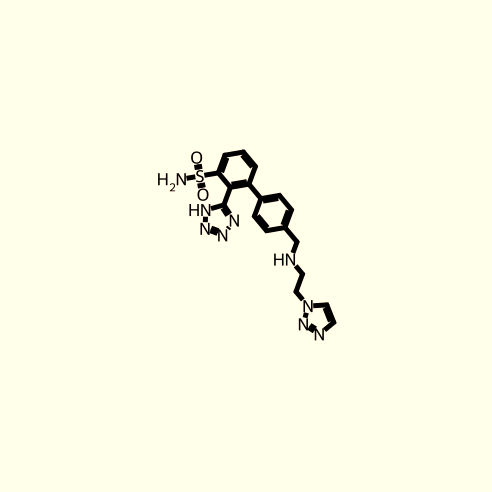 NS(=O)(=O)c1cccc(-c2ccc(CNCCn3ccnn3)cc2)c1-c1nnn[nH]1